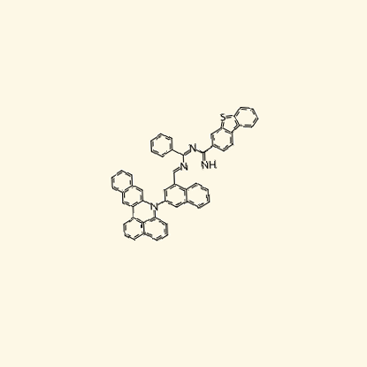 N=C(/N=C(\N=C\c1cc(N2c3cc4ccccc4cc3-c3cccc4cccc2c34)cc2ccccc12)c1ccccc1)c1ccc2c(c1)sc1ccccc12